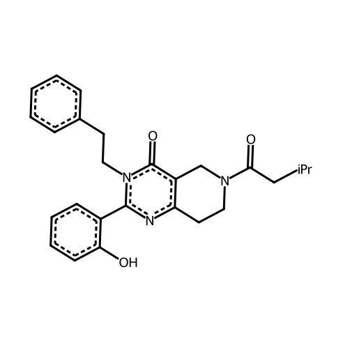 CC(C)CC(=O)N1CCc2nc(-c3ccccc3O)n(CCc3ccccc3)c(=O)c2C1